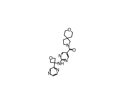 O=C(c1cnc(NC2(c3cnccn3)COC2)nc1)N1CCC2(CCOCC2)C1